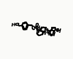 O=C(OCc1ccc(CO)cc1)N1CCC[C@@H]2[C@H]1CCN2c1ncnc2[nH]ccc12